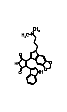 CN(C)CCCn1cc(C2=C(c3c[nH]c4ccccc34)C(=O)NC2=O)c2cc3c(cc21)OCO3